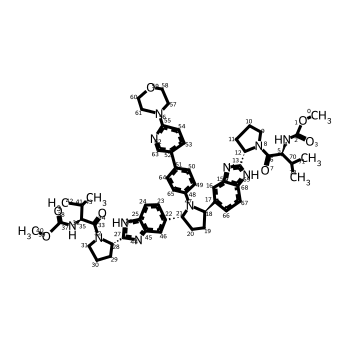 COC(=O)N[C@H](C(=O)N1CCC[C@H]1c1nc2cc([C@H]3CC[C@H](c4ccc5[nH]c([C@@H]6CCCN6C(=O)[C@@H](NC(=O)OC)C(C)C)nc5c4)N3c3ccc(-c4ccc(N5CCOCC5)nc4)cc3)ccc2[nH]1)C(C)C